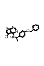 CC(Nc1ncnc2scc(Cl)c12)c1ccc(OCc2ccccc2)cc1